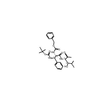 CC(=O)[C@@H](NC(=O)[C@@H](NC(=O)OCc1ccccc1)[C@H](NC(=O)OC(C)(C)C)c1ccccc1)[C@H](O)C(C)C